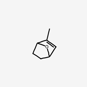 CC1=CC2CCC1O2